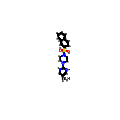 O=C(O)c1cnc(N2CCN(S(=O)(=O)c3ccc4ccccc4c3)CC2)nc1